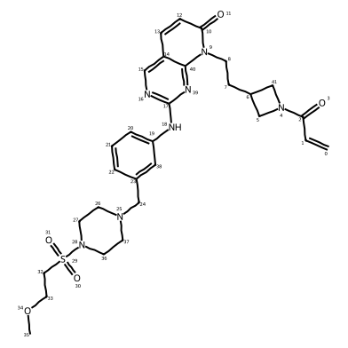 C=CC(=O)N1CC(CCn2c(=O)ccc3cnc(Nc4cccc(CN5CCN(S(=O)(=O)CCOC)CC5)c4)nc32)C1